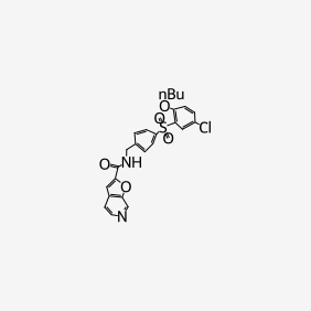 CCCCOc1ccc(Cl)cc1S(=O)(=O)c1ccc(CNC(=O)c2cc3ccncc3o2)cc1